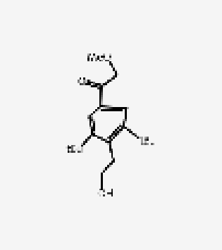 COCC(=O)c1cc(C(C)(C)C)c(CCO)c(C(C)(C)C)c1